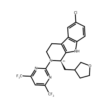 FC(F)(F)c1cc(C(F)(F)F)nc(N2CCc3c([nH]c4ccc(Cl)cc34)[C@H]2CC2CCOC2)n1